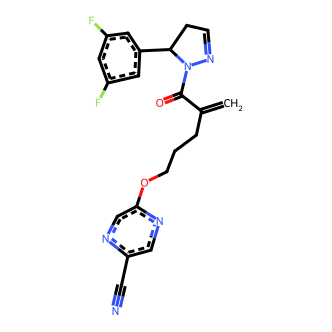 C=C(CCCOc1cnc(C#N)cn1)C(=O)N1N=CCC1c1cc(F)cc(F)c1